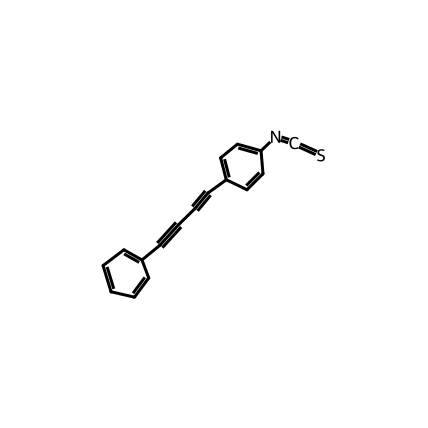 S=C=Nc1ccc(C#CC#Cc2ccccc2)cc1